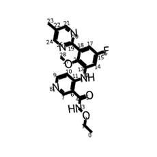 CCONC(=O)c1cnccc1Nc1cc(F)cc(-c2ncc(C)cn2)c1OC